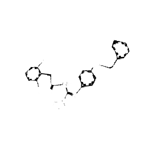 NC(=Nc1ccc(OCc2ccccc2)cc1)NC(=O)Cc1c(Cl)cccc1Cl